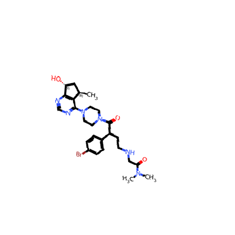 C[C@@H]1C[C@@H](O)c2ncnc(N3CCN(C(=O)C(CCNCC(=O)N(C)C)c4ccc(Br)cc4)CC3)c21